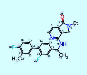 CCN1Cc2c(ccnc2NC(C)c2ccc(-c3ccc(F)c(C)c3)c(F)c2)C1=O